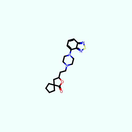 O=C1OC(CCN2CCN(c3cccc4nsnc34)CC2)CC12CCCC2